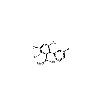 CON(O)c1c(C)c(Cl)cc(C(C)=O)c1-c1cccc(F)c1